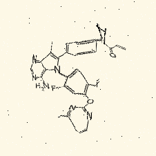 C=CC(=O)Nc1ccc(-c2c(C)c3ncnc(N)c3n2-c2cc(F)c(Oc3nccc(C)n3)cc2F)cc1